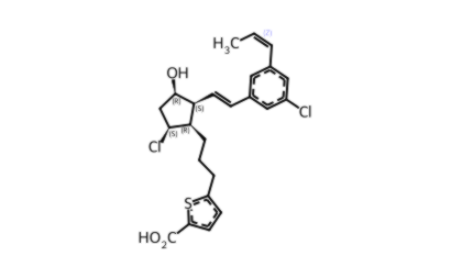 C/C=C\c1cc(Cl)cc(C=C[C@H]2[C@@H](CCCc3ccc(C(=O)O)s3)[C@@H](Cl)C[C@H]2O)c1